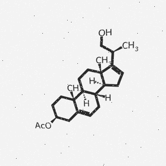 CC(=O)O[C@H]1CC[C@@]2(C)C(=CC[C@@H]3[C@@H]2CC[C@]2(C)C([C@H](C)CO)=CC[C@@H]32)C1